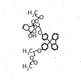 C=CC(=O)OCC(C)COc1ccc(C2(c3ccc(OCC(COC(=O)C=C)OC(=O)C4CC=CCC4C(=O)O)cc3)c3ccccc3-c3ccccc32)cc1